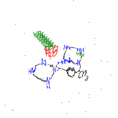 Br.Br.Br.Br.Br.Br.Br.Br.CC(CN1CCCNCCNCCCNCC1)c1ccc(C(C)CN2CCCNCCNCCCNCC2)cc1.O.O